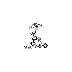 CCC1(C)CN(C(=O)CCOC(C)(C)O)CC1c1ccc(OC)c(OC2CN(c3ccccn3)C2)c1